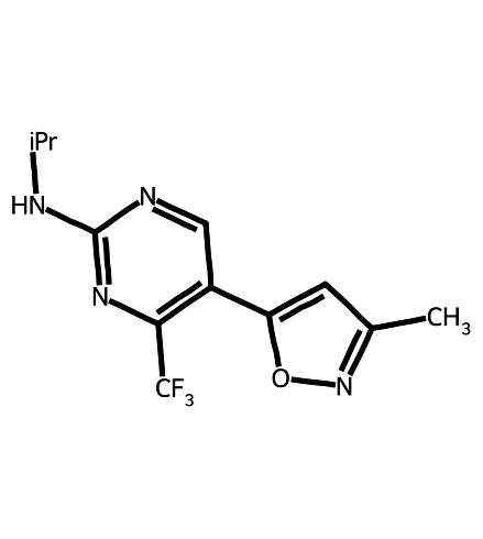 Cc1cc(-c2cnc(NC(C)C)nc2C(F)(F)F)on1